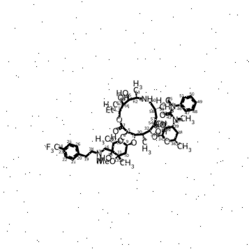 CC[C@H]1OC(=O)[C@H](C)[C@@H](O[C@H]2C[C@@](C)(OC)[C@](O)(CNCCc3ccc(C(F)(F)F)cc3)[C@H](C)O2)[C@H](C)[C@@H](O[C@@H]2O[C@H](C)C[C@H](N(C)C(=O)N(C)c3ccccc3)[C@H]2O)[C@](C)(O)C[C@@H](C)CN[C@H](C)[C@@H](O)[C@]1(C)O